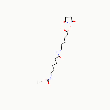 CC(C)(C)OC(=O)NCCCCCC(=O)NCCCCCC(=O)ON1C(=O)CCC1=O